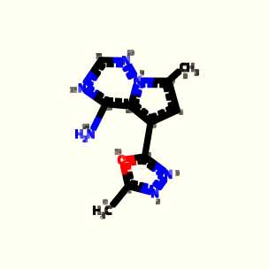 Cc1nnc(-c2cc(C)n3ncnc(N)c23)o1